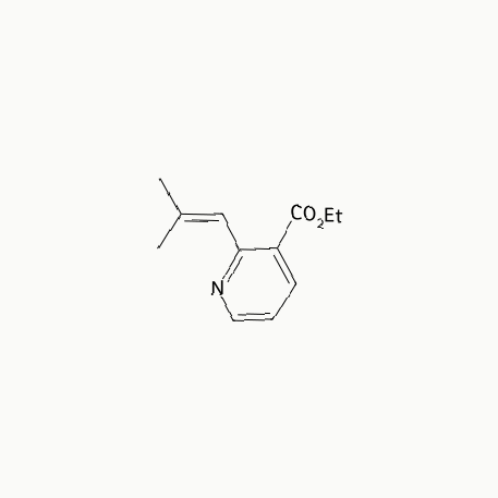 CCOC(=O)c1cccnc1C=C(C)C